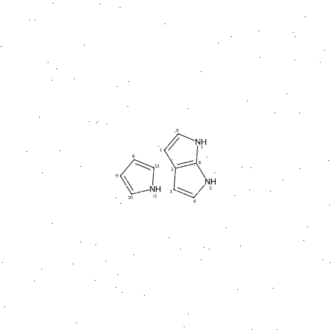 c1cc2cc[nH]c2[nH]1.c1cc[nH]c1